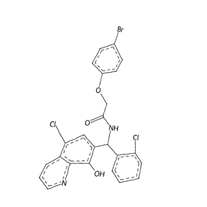 O=C(COc1ccc(Br)cc1)NC(c1ccccc1Cl)c1cc(Cl)c2cccnc2c1O